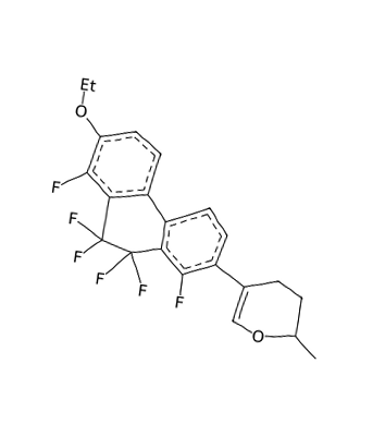 CCOc1ccc2c(c1F)C(F)(F)C(F)(F)c1c-2ccc(C2=COC(C)CC2)c1F